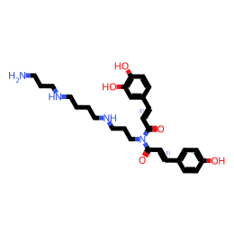 NCCCNCCCCNCCCN(C(=O)/C=C/c1ccc(O)cc1)C(=O)/C=C/c1ccc(O)c(O)c1